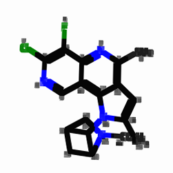 CSc1nc2c(F)c(Cl)ncc2c2c1cc(C)n2C1C2CC1N(C(=O)O)C2